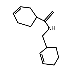 C=C(NCC1C=CCCC1)C1CC=CCC1